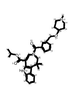 CC(C)OC(=O)C1=CN(C(=O)c2cccc(COC3CCN(C)CC3)c2)CC(C)(C)c2c1[nH]c1ccccc21